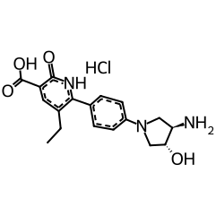 CCc1cc(C(=O)O)c(=O)[nH]c1-c1ccc(N2C[C@@H](N)[C@H](O)C2)cc1.Cl